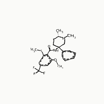 COc1cc(C(F)(F)F)cc(SC)c1C(=O)N[C@@]1(c2ccccc2)CC[C@H](C)N(C)C1